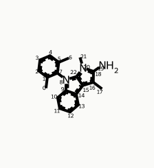 Cc1cccc(C)c1-n1c2ccccc2c2c(C)c(N)n(C)c21